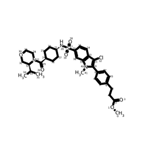 COC(=O)CCc1ccc(-c2c(Cl)c3ccc(S(=O)(=O)N[C@H]4CC[C@H](C(=O)N5CCOC[C@@H]5C(C)C)CC4)cc3n2C)cc1